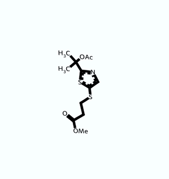 COC(=O)CCSc1cnc(C(C)(C)OC(C)=O)s1